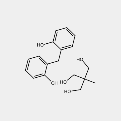 CC(CO)(CO)CO.Oc1ccccc1Cc1ccccc1O